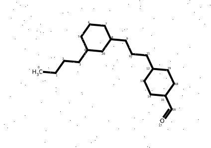 CCCCC1CCCC(CCCC2CCC(C=O)CC2)C1